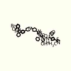 Cc1ncsc1-c1ccc([C@H](CN2CCOCC2)NC(=O)[C@@H]2C[C@@H](O)CN2C(=O)[C@H](C2CCCCC2)n2cc(C3CCC(CN4CCC(c5ccc6c(c5)-n5c(nc(=O)c7c(Br)cccc75)C65CCCCC5)CC4)CC3)nn2)cc1